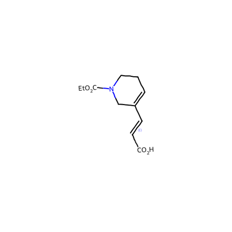 CCOC(=O)N1CCC=C(/C=C/C(=O)O)C1